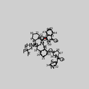 O=C(NCC(F)(F)F)[C@H]1CCCC[C@H]1C(=O)N1CCc2cccc(O[C@H]3CCN(C(=O)c4cncs4)C3)c2[C@H]1CN1C(=O)c2ccccc2C1=O